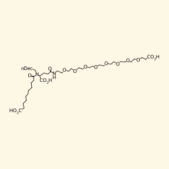 CCCCCCCCCCCN(C(=O)CCCCCCCCCC(=O)O)[C@@H](CCC(=O)NCCOCCOCCOCCOCCOCCOCCOCCOCCC(=O)O)C(=O)O